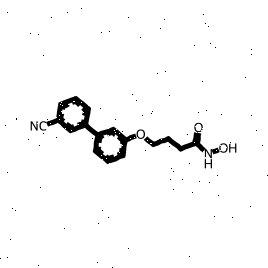 N#Cc1cccc(-c2cccc(OCCCC(=O)NO)c2)c1